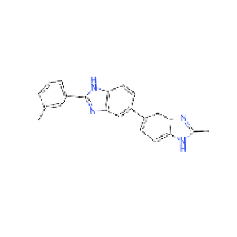 CC1=NC2CC(c3ccc4[nH]c(-c5cccc(C)c5)nc4c3)=CC=C2N1